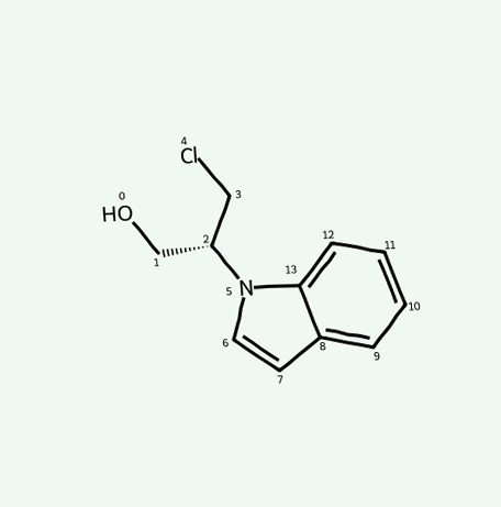 OC[C@H](CCl)n1ccc2ccccc21